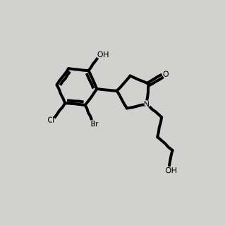 O=C1CC(c2c(O)ccc(Cl)c2Br)CN1CCCO